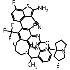 C[C@H](c1cccnc1N)N1CCOc2c(C(F)(F)F)c(-c3ccc(F)c4sc(N)c(C#N)c34)c(F)c3nc(OC[C@@]45CCCN4C[C@H](F)C5)nc1c23